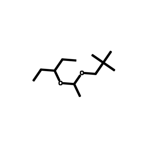 CCC(CC)OC(C)OCC(C)(C)C